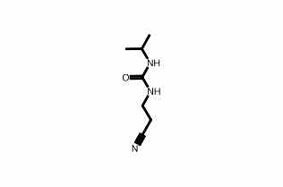 CC(C)NC(=O)NCCC#N